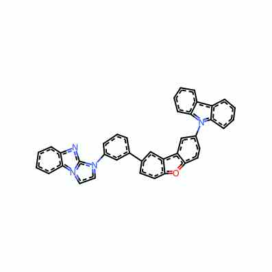 c1cc(-c2ccc3oc4ccc(-n5c6ccccc6c6ccccc65)cc4c3c2)cc(-n2ccn3c4ccccc4nc23)c1